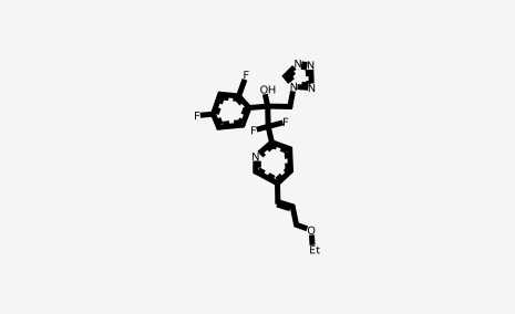 CCOCC=Cc1ccc(C(F)(F)C(O)(Cn2cnnn2)c2ccc(F)cc2F)nc1